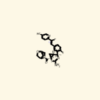 C[C@]1(c2cc(/C=C(\F)c3ccc(C#N)cn3)ccc2F)N=C(N)S[C@@]2(C(=O)N3CC4CC3CO4)C[C@H]21